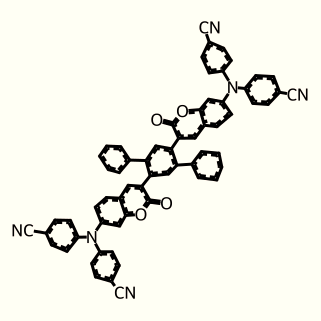 N#Cc1ccc(N(c2ccc(C#N)cc2)c2ccc3cc(-c4cc(-c5ccccc5)c(-c5cc6ccc(N(c7ccc(C#N)cc7)c7ccc(C#N)cc7)cc6oc5=O)cc4-c4ccccc4)c(=O)oc3c2)cc1